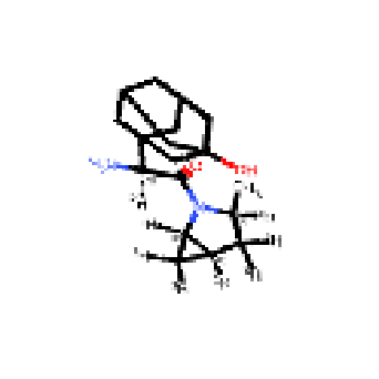 [2H]C1([2H])[C@]2([2H])C([2H])([2H])[C@]2([2H])N(C(=O)[C@@]([2H])(N)C23CC4CC(CC(O)(C4)C2)C3)[C@]1([2H])C